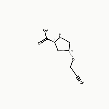 C#CCO[C@H]1CN[C@H](C(=O)O)C1